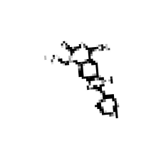 CCN1C(=O)OC(C)c2cc3[nH]c(-c4ccncc4)nc3cc21